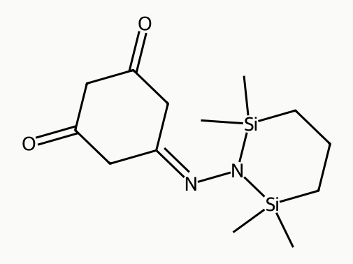 C[Si]1(C)CCC[Si](C)(C)N1N=C1CC(=O)CC(=O)C1